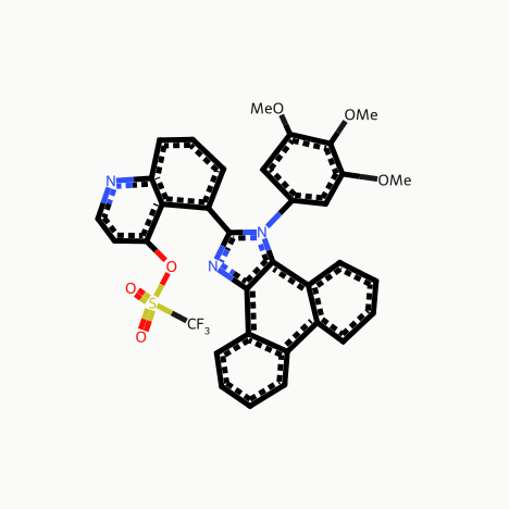 COc1cc(-n2c(-c3cccc4nccc(OS(=O)(=O)C(F)(F)F)c34)nc3c4ccccc4c4ccccc4c32)cc(OC)c1OC